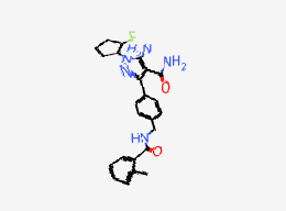 Cc1ccccc1C(=O)NCc1ccc(-c2nn(C3CCCC3F)c(N)c2C(N)=O)cc1